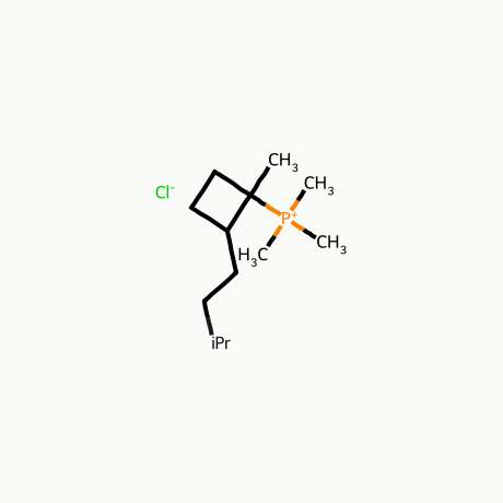 CC(C)CCC1CCC1(C)[P+](C)(C)C.[Cl-]